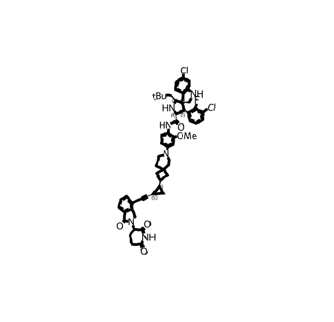 COc1cc(N2CCC3(CC2)CC([C@H]2C[C@@H]2C#Cc2cccc4c2CN(C2CCC(=O)NC2=O)C4=O)C3)ccc1NC(=O)[C@@H]1N[C@@H](CC(C)(C)C)[C@@]2(CNc3cc(Cl)ccc32)[C@H]1c1cccc(Cl)c1F